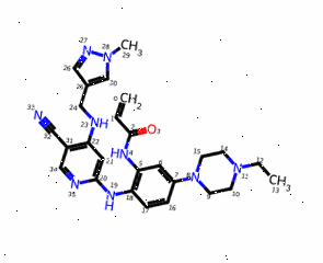 C=CC(=O)Nc1cc(N2CCN(CC)CC2)ccc1Nc1cc(NCc2cnn(C)c2)c(C#N)cn1